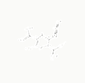 O=C(O)c1cc(N=C=S)c(C(=O)O)cc1Cl